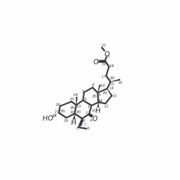 C/C=C1\C(=O)C2C(CC[C@@]3(C)[C@@H]2CC[C@@H]3[C@H](C)CCC(=O)OC)[C@@]2(C)CC[C@@H](O)C[C@@H]12